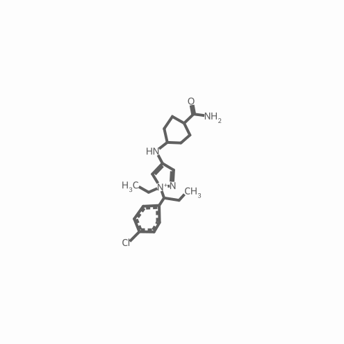 CCC(c1ccc(Cl)cc1)[N+]1(CC)C=C(NC2CCC(C(N)=O)CC2)C=N1